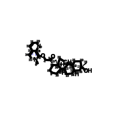 C=N/C(OCC(=O)[C@H]1CCC[C@H]2[C@@H]3CC[C@@H]4C[C@](C)(O)CC[C@@H]4[C@H]3CC[C@]12C)=c1/nccc/c1=C/C